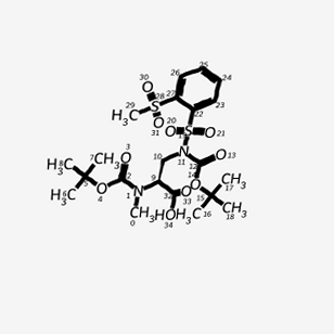 CN(C(=O)OC(C)(C)C)[C@@H](CN(C(=O)OC(C)(C)C)S(=O)(=O)c1ccccc1S(C)(=O)=O)C(=O)O